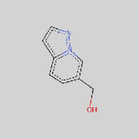 OCc1ccc2ccnn2c1